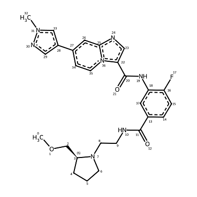 COC[C@@H]1CCCN1CCNC(=O)c1ccc(F)c(NC(=O)c2cnc3cc(-c4cnn(C)c4)ccn23)c1